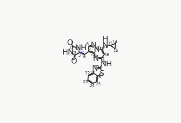 O=C1NC(=O)/C(=C/c2cnn3c(NC4CC4)cc(Nc4nc5ccccc5s4)nc23)N1